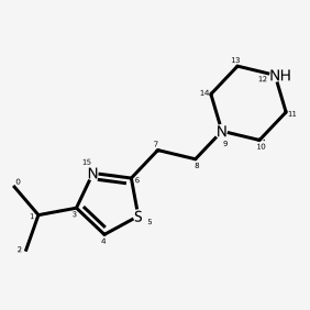 CC(C)c1csc(CCN2[CH]CNCC2)n1